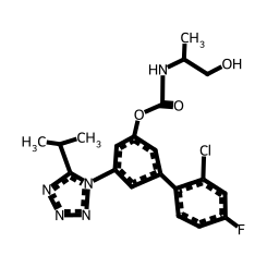 CC(CO)NC(=O)Oc1cc(-c2ccc(F)cc2Cl)cc(-n2nnnc2C(C)C)c1